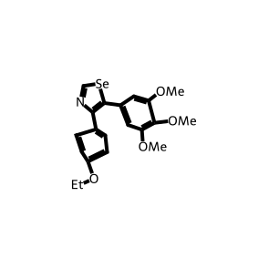 CCOc1ccc(-c2nc[se]c2-c2cc(OC)c(OC)c(OC)c2)cc1